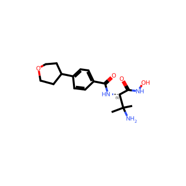 CC(C)(N)[C@H](NC(=O)c1ccc(C2CCOCC2)cc1)C(=O)NO